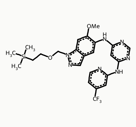 COc1cc2c(cnn2COCC[Si](C)(C)C)cc1Nc1cc(Nc2cc(C(F)(F)F)ccn2)ncn1